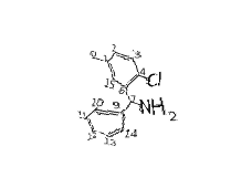 Cc1ccc(Cl)c(C(N)c2ccccc2)c1